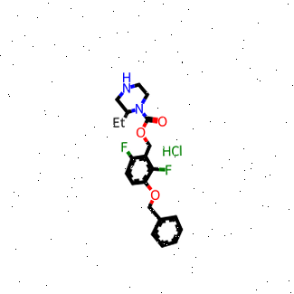 CCC1CNCCN1C(=O)OCc1c(F)ccc(OCc2ccccc2)c1F.Cl